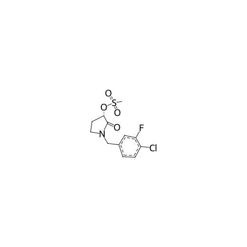 CS(=O)(=O)O[C@H]1CCN(Cc2ccc(Cl)c(F)c2)C1=O